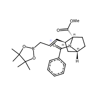 COC(=O)[C@@]12CC[C@H](C[C@H]1/C=C/CB1OC(C)(C)C(C)(C)O1)N2C(=O)c1ccccc1